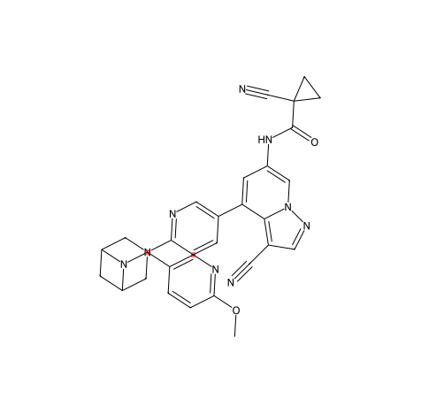 COc1ccc(CN2C3CC2CN(c2ccc(-c4cc(NC(=O)C5(C#N)CC5)cn5ncc(C#N)c45)cn2)C3)cn1